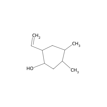 C=CC1CC(C)C(C)CC1O